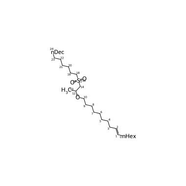 CCCCCCC=CCCCCCCCCOC(C)CS(=O)(=O)CCCCCCCCCCCCCCCC